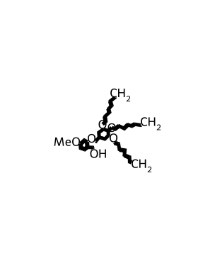 C=C/C=C/C=C/C=C/OC1CC(COc2cc(OC)ccc2CO)CC(O/C=C/C=C/C=C/C=C)C1O/C=C/C=C/C=C/C=C